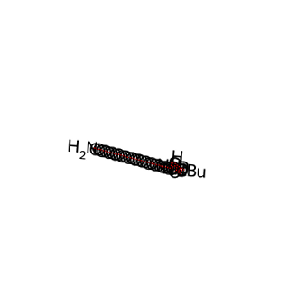 CC(C)(C)OC(=O)[C@H](Cc1ccc(NC(=O)c2c(Cl)cccc2Cl)cc1)NC(=O)C1(CCNC(=O)CCOCCOCCOCCOCCOCCOCCOCCOCCOCCOCCOCCOCCOCCOCCOCCOCCOCCOCCOCCOCCOCCOCCOCCOCCN)CCCC1